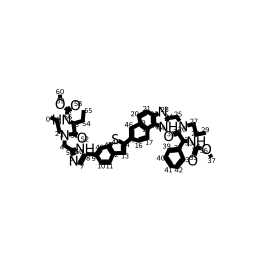 CCCN(Cc1ncc(-c2ccc3cc(-c4ccc5c(ccc6nc(CN(CCC)C(=O)C(NC(=O)OC)c7ccccc7)[nH]c65)c4)sc3c2)[nH]1)C(=O)C(CC)NC(=O)OC